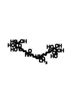 CC(CCCCNC(=O)CCCCOC1OC(CO)[C@H](O)C(O)C1O)NC(=O)CCCCOC1OC(CO)C(O)C(O)C1O